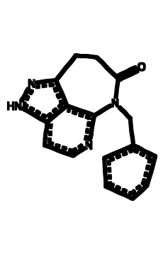 O=C1CCc2n[nH]c3ccnc(c23)N1Cc1ccccc1